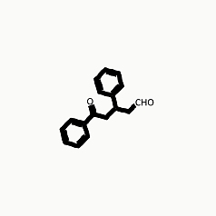 O=CCC(CC(=O)c1ccccc1)c1ccccc1